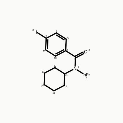 CCCN(C(=O)c1ccc(I)cc1)C1CCCCC1